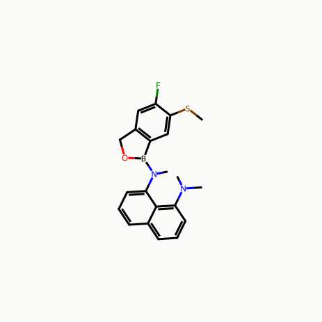 CSc1cc2c(cc1F)COB2N(C)c1cccc2cccc(N(C)C)c12